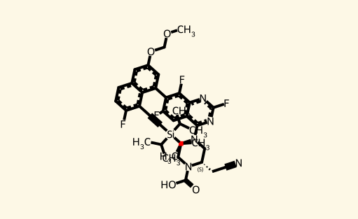 COCOc1cc(-c2c(F)cc3c(N4CCN(C(=O)O)[C@@H](CC#N)C4)nc(F)nc3c2F)c2c(C#C[Si](C(C)C)(C(C)C)C(C)C)c(F)ccc2c1